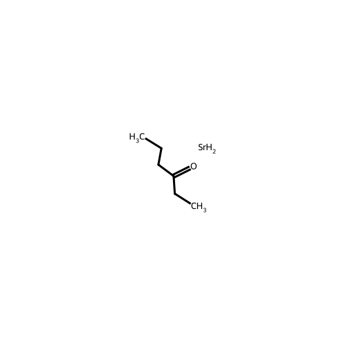 CCCC(=O)CC.[SrH2]